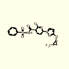 O=C(NS(=O)(=O)c1ccccc1)c1ccc(-n2ccc(O[C@H]3C[C@H]3C(F)(F)F)n2)nc1Cl